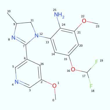 COc1cncc(C2=NC(C)CN2c2cc(OC(F)F)cc(OC)c2N)c1